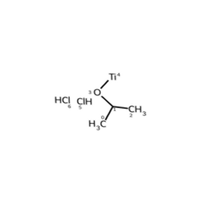 CC(C)[O][Ti].Cl.Cl